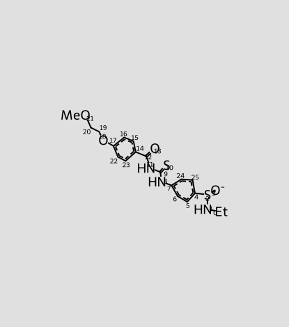 CCN[S+]([O-])c1ccc(NC(=S)NC(=O)c2ccc(OCCOC)cc2)cc1